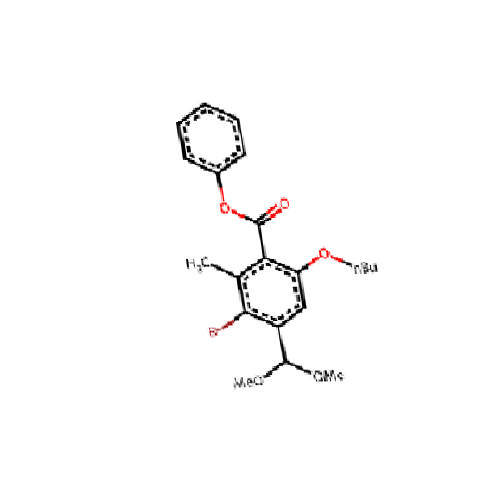 CCCCOc1cc(C(OC)OC)c(Br)c(C)c1C(=O)Oc1ccccc1